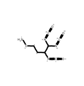 O=C=NC(CCO[SiH3])C(N=C=O)N=C=O